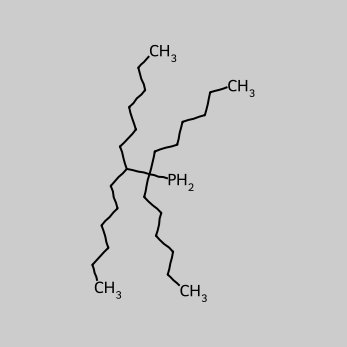 CCCCCCC(CCCCCC)C(P)(CCCCCC)CCCCCC